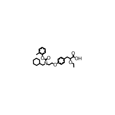 CCOC(Cc1ccc(OCCN(CC2CCCCC2)C(=O)Oc2ccccc2C)cc1)C(=O)O